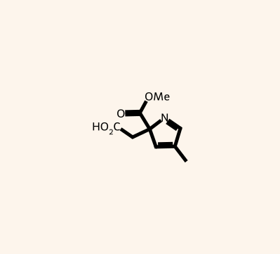 COC(=O)C1(CC(=O)O)C=C(C)C=N1